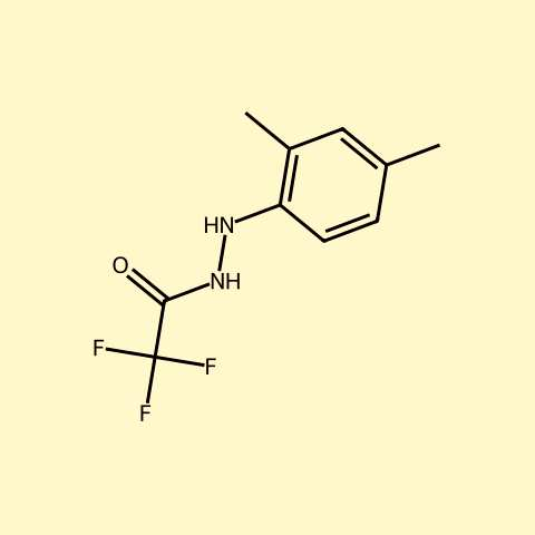 Cc1ccc(NNC(=O)C(F)(F)F)c(C)c1